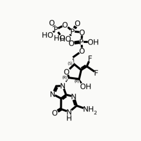 Nc1nc2c(ncn2[C@@H]2O[C@H](COP(=O)(O)OP(=O)(O)OP(=O)(O)O)C(=C(F)F)[C@H]2O)c(=O)[nH]1